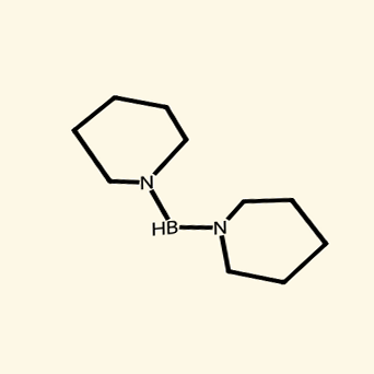 B(N1CCCCC1)N1CCCCC1